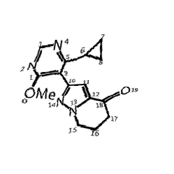 COc1ncnc(C2CC2)c1-c1cc2n(n1)CCCC2=O